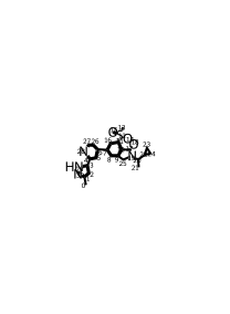 Cc1cc(-c2cc(-c3cc4c(c(S(C)(=O)=O)c3)C(=O)N(C(C)C3CC3)C4)ccn2)[nH]n1